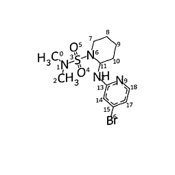 CN(C)S(=O)(=O)N1CCCCC1Nc1cc(Br)ccn1